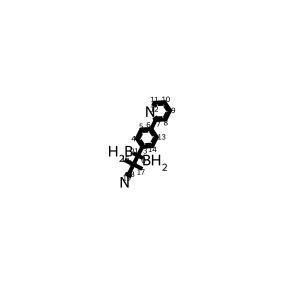 BC(B)(c1ccc(-c2ccccn2)cc1)C(C)(C)C#N